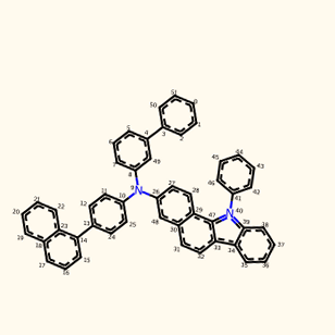 c1ccc(-c2cccc(N(c3ccc(-c4cccc5ccccc45)cc3)c3ccc4c(ccc5c6ccccc6n(-c6ccccc6)c45)c3)c2)cc1